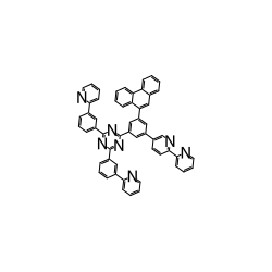 c1ccc(-c2cccc(-c3nc(-c4cccc(-c5ccccn5)c4)nc(-c4cc(-c5ccc(-c6ccccn6)nc5)cc(-c5cc6ccccc6c6ccccc56)c4)n3)c2)nc1